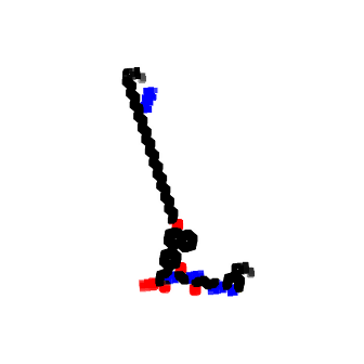 CCCCCCC(CCCCCCCCCCCCCCCCCCCOc1ccc(-c2ccc(C(CC(=O)O)NC(=O)CNC(=O)CCCNc3cc(C)ccn3)cc2)c2ccccc12)N=[N+]=[N-]